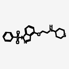 O=S(=O)(c1ccccc1)n1ncc2c(OCCNC3CCSCC3)cccc21